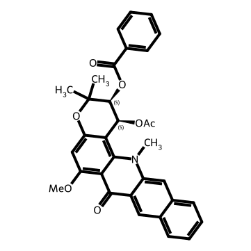 COc1cc2c(c3c1c(=O)c1cc4ccccc4cc1n3C)[C@H](OC(C)=O)[C@H](OC(=O)c1ccccc1)C(C)(C)O2